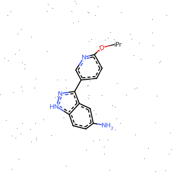 CC(C)Oc1ccc(-c2n[nH]c3ccc(N)cc23)cn1